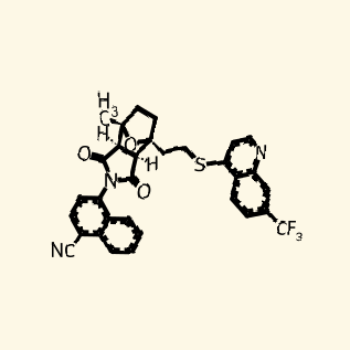 C[C@@]12CC[C@@](CCSc3ccnc4cc(C(F)(F)F)ccc34)(O1)[C@H]1C(=O)N(c3ccc(C#N)c4ccccc34)C(=O)[C@H]12